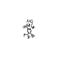 CN(CCO)c1cc(Br)c(C(F)F)cc1[N+](=O)[O-]